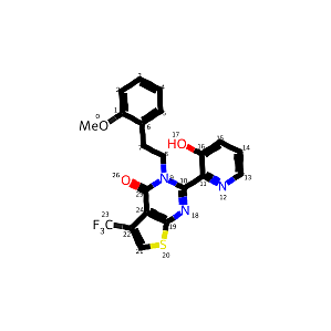 COc1ccccc1CCn1c(-c2ncccc2O)nc2scc(C(F)(F)F)c2c1=O